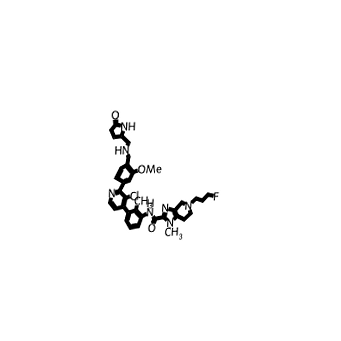 COc1cc(-c2nccc(-c3cccc(NC(=O)c4nc5c(n4C)CCN(CCCF)C5)c3C)c2Cl)ccc1CNCC1CCC(=O)N1